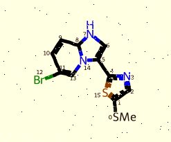 CSc1cnc(C2=CNC3C=CC(Br)=CN23)s1